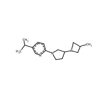 CC1CN(C2CCN(c3ccc(C(C)C)cn3)C2)C1